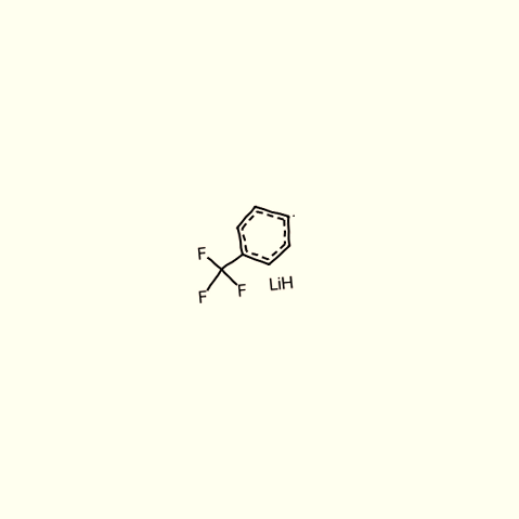 FC(F)(F)c1cc[c]cc1.[LiH]